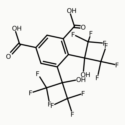 O=C(O)c1cc(C(=O)O)c(C(O)(C(F)(F)F)C(F)(F)F)c(C(O)(C(F)(F)F)C(F)(F)F)c1